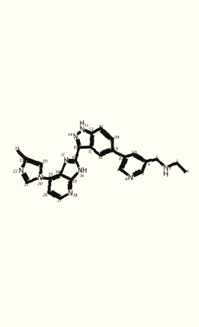 CCNCc1cncc(-c2ccc3[nH]nc(-c4nc5c(-n6cnc(C)c6)ccnc5[nH]4)c3c2)c1